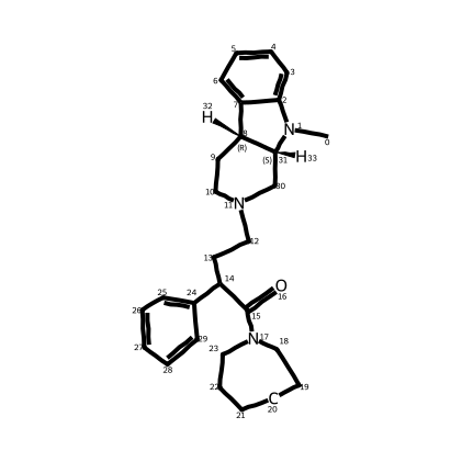 CN1c2ccccc2[C@H]2CCN(CCC(C(=O)N3CCCCCC3)c3ccccc3)C[C@H]21